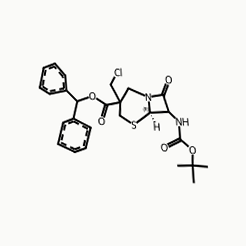 CC(C)(C)OC(=O)NC1C(=O)N2CC(CCl)(C(=O)OC(c3ccccc3)c3ccccc3)CS[C@H]12